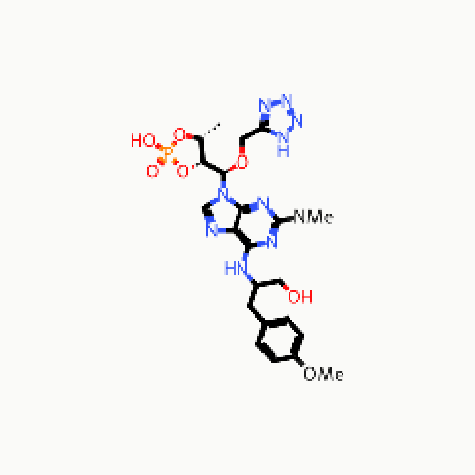 CNc1nc(NC(CO)Cc2ccc(OC)cc2)c2ncn([C@H](OCc3nnn[nH]3)[C@@H]3OP(=O)(O)O[C@@H]3C)c2n1